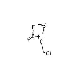 CSC.ClCCl.FB(F)F